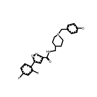 O=C(NCC1CCN(Cc2ccc(Cl)cc2)CC1)c1cc(-c2ccc(F)cc2F)on1